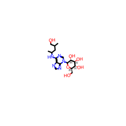 CC(CO)CC(C)Nc1ncn(C2O[C@H](CO)[C@@H](O)[C@H](O)[C@H]2O)c2ncnc1-2